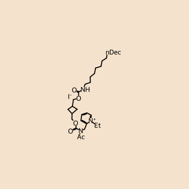 CCCCCCCCCCCCCCCCCCNC(=O)OCC1CC(COC(=O)N(Cc2cccc[n+]2CC)C(C)=O)C1.[I-]